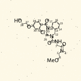 COCCN(C)C(=O)CNC(=O)N1Cc2ccccc2N(C(=O)c2ccc(OCCO)cc2Cl)C[C@H]1C